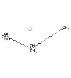 CCCCCCCCCCCCCCCCCC[N+](C)(C)CCCCCCCCCCCCP(=O)(O)O.[Cl-]